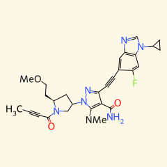 CC#CC(=O)N1CC(n2nc(C#Cc3cc4ncn(C5CC5)c4cc3F)c(C(N)=O)c2NC)C[C@@H]1CCOC